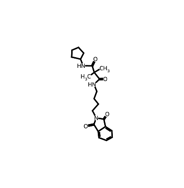 CC(C)(C(=O)NCCCCN1C(=O)c2ccccc2C1=O)C(=O)NC1CCCC1